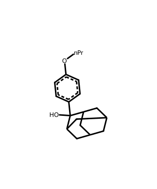 CCCOc1ccc(C2(O)C3CC4CC(C3)CC2C4)cc1